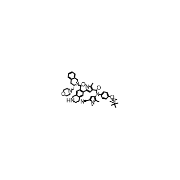 Cc1c(N(C(=O)c2cc(-c3cc4c(cc3C(=O)N3Cc5ccccc5C[C@H]3CN3CCOCC3)CNCC4)n(C)c2C)c2ccc(O[Si](C)(C)C(C)(C)C)cc2)cc(C#N)n1C